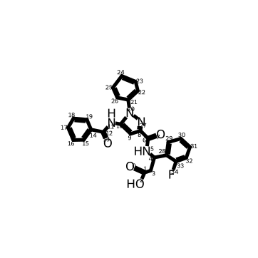 O=C(O)CC(NC(=O)c1cc(NC(=O)c2ccccc2)n(-c2ccccc2)n1)c1ccccc1F